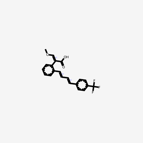 CO/C=C(/C(=O)O)c1ccccc1/C=C/C=C/c1ccc(C(F)(F)F)cc1